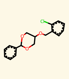 Clc1ccccc1COC1COC(c2ccccc2)OC1